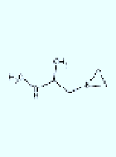 CBC(C)CB1CC1